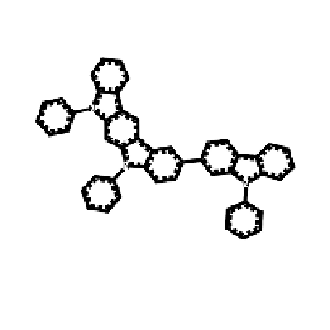 c1ccc(-n2c3ccccc3c3ccc(-c4ccc5c(c4)c4cc6c7ccccc7n(-c7ccccc7)c6cc4n5-c4ccccc4)cc32)cc1